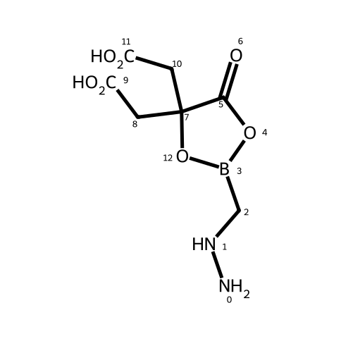 NNCB1OC(=O)C(CC(=O)O)(CC(=O)O)O1